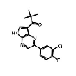 CC(C)(C)C(=O)c1c[nH]c2ncc(-c3ccc(F)c(Cl)c3)nc12